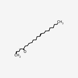 C=CC[C]C(=O)CCCCCCCC=CCCCCCCCC